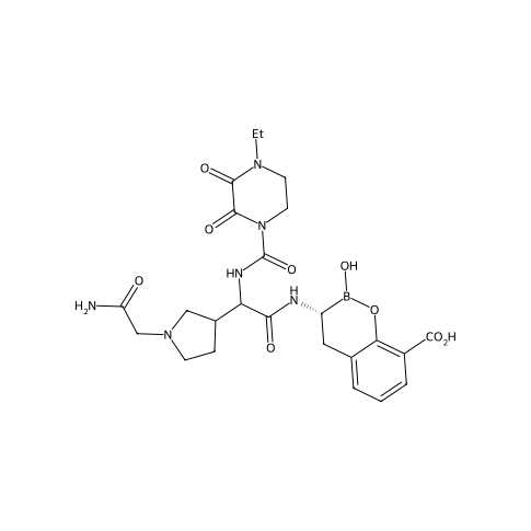 CCN1CCN(C(=O)NC(C(=O)N[C@H]2Cc3cccc(C(=O)O)c3OB2O)C2CCN(CC(N)=O)C2)C(=O)C1=O